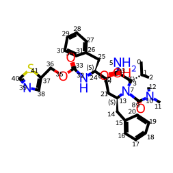 CC(C)[C@@H](C(N)=O)N(C(=O)N(C)C)[C@@H](Cc1ccccc1)C[C@H](O)[C@H](Cc1ccccc1)NC(=O)OCc1cncs1